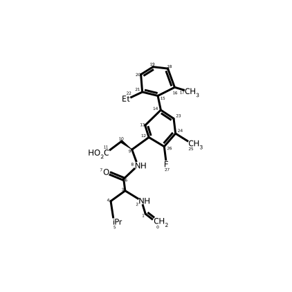 C=CNC(CC(C)C)C(=O)N[C@@H](CC(=O)O)c1cc(-c2c(C)cccc2CC)cc(C)c1F